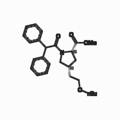 CCCCOCC[C@H]1C[C@@H](C(=O)OC)N(C(=O)C(c2ccccc2)c2ccccc2)C1